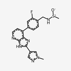 Cn1cc(-c2nc3c(-c4ccc(CN[S+](C)[O-])c(F)c4)ccnc3[nH]2)cn1